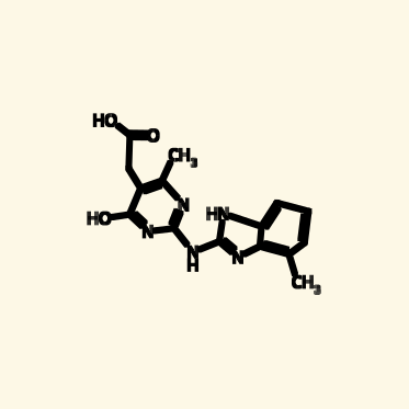 Cc1nc(Nc2nc3c(C)cccc3[nH]2)nc(O)c1CC(=O)O